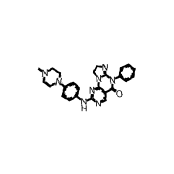 CN1CCN(c2ccc(Nc3ncc4c(n3)N3CCN=C3N(c3ccccc3)C4=O)cc2)CC1